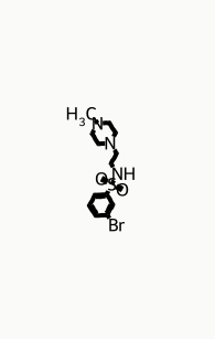 CN1CCN(CCNS(=O)(=O)c2cccc(Br)c2)CC1